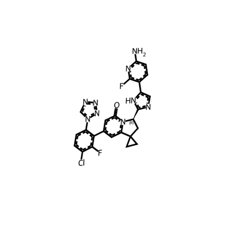 Nc1ccc(-c2cnc([C@H]3CC4(CC4)c4cc(-c5c(-n6cnnn6)ccc(Cl)c5F)cc(=O)n43)[nH]2)c(F)n1